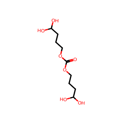 O=C(OCCCC(O)O)OCCCC(O)O